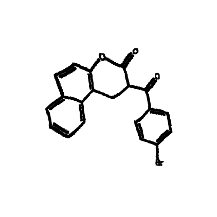 O=C1Oc2ccc3ccccc3c2CC1C(=O)c1ccc(Br)cc1